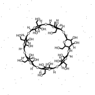 CC1[C@@H]2OC(CO)[C@@H](O[C@H]3OC(CO)[C@@H](O[C@H]4OC(CO)[C@@H](O[C@H]5OC(CO)[C@@H](O[C@H]6OC(CO)[C@@H](O[C@H]7OC(CO)[C@@H](O[C@H]8OC(CO)[C@@H](O2)[C@H](O)C8O)[C@H](O)C7O)[C@H](O)C6O)[C@H](O)C5O)[C@H](O)C4O)[C@H](O)C3O)[C@@H]1O